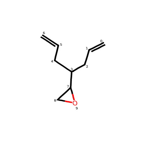 C=CC[C](CC=C)C1CO1